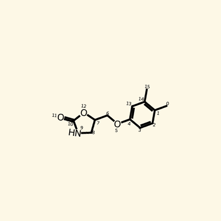 Cc1ccc(OCC2CNC(=O)O2)cc1C